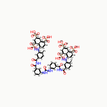 Cc1ccc(C(=O)NC(=O)c2cccc(NC(=O)Nc3cccc(C(=O)NC(=O)c4ccc(C)c(Nc5ccc(S(=O)(=O)O)c6cc(S(=O)(=O)O)cc(S(=O)(=O)O)c56)c4)c3)c2)cc1Nc1ccc(S(=O)(=O)O)c2cc(S(=O)(=O)O)cc(S(=O)(=O)O)c12